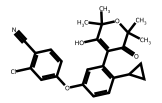 CC1(C)OC(C)(C)C(O)=C(c2cc(Oc3ccc(C#N)c(Cl)c3)ccc2C2CC2)C1=O